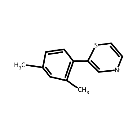 Cc1ccc(C2=C[N]C=CS2)c(C)c1